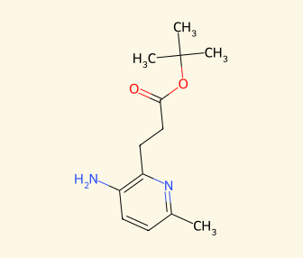 Cc1ccc(N)c(CCC(=O)OC(C)(C)C)n1